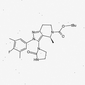 Cc1cc(-n2nc3c(c2N2CCNC2=O)[C@H](C)N(C(=O)OC(C)(C)C)CC3)cc(C)c1F